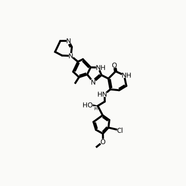 COc1ccc([C@@H](O)CNc2cc[nH]c(=O)c2-c2nc3c(C)cc(N4C=NCCC4)cc3[nH]2)cc1Cl